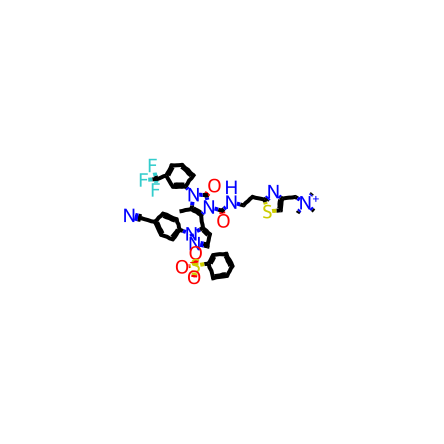 Cc1c(-c2ccnn2-c2ccc(C#N)cc2)n(C(=O)NCCc2nc(C[N+](C)(C)C)cs2)c(=O)n1-c1cccc(C(F)(F)F)c1.O=S(=O)([O-])c1ccccc1